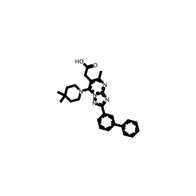 Cc1nc2nc(-c3cccc(-c4ccccc4)c3)nn2c(N2CCC(C)(C)CC2)c1CC(=O)O